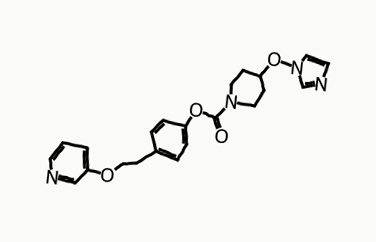 O=C(Oc1ccc(CCOc2cccnc2)cc1)N1CCC(On2ccnc2)CC1